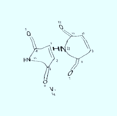 O=C1C=CC(=O)N1.O=C1C=CC(=O)N1.[V]